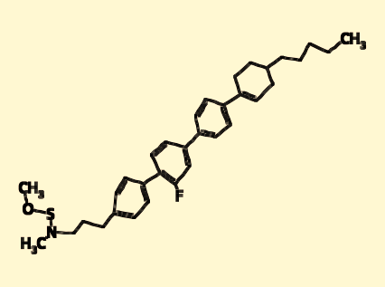 CCCCCC1CC=C(c2ccc(-c3ccc(-c4ccc(CCCN(C)SOC)cc4)c(F)c3)cc2)CC1